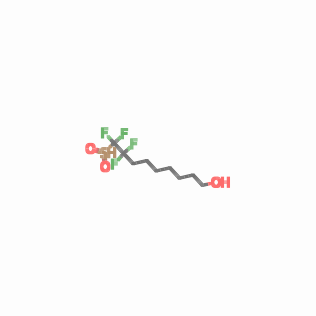 O=[SH](=O)C(F)(F)C(F)(F)CCCCCCCO